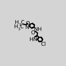 CC(C)c1nc2cc(NC(=O)Cc3c[nH]c4cc(Cl)ccc34)ccc2o1